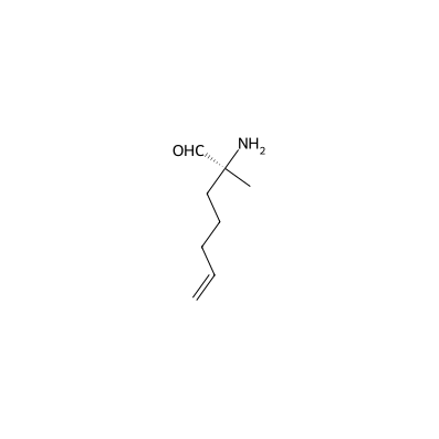 C=CCCC[C@](C)(N)C=O